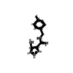 Cc1ccc(CNC(=N)c2nonc2O)cc1